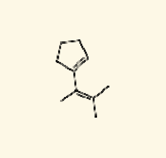 CC(C)=C(C)C1=CCCC1